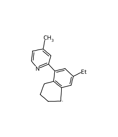 CCc1cc2c(c(-c3cc(C)ccn3)c1)CCC[CH]2